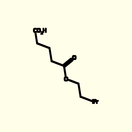 CC(C)CCOC(=O)CCCC(=O)O